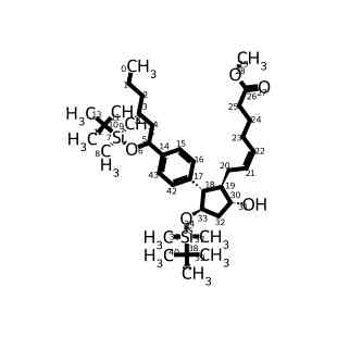 CCCCCC(O[Si](C)(C)C(C)(C)C)c1ccc([C@@H]2[C@@H](C/C=C\CCCC(=O)OC)[C@H](O)C[C@H]2O[Si](C)(C)C(C)(C)C)cc1